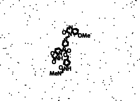 CNCC(=O)Nc1ccc(COC(=O)N(c2ccc3c(n2)NC(=O)CO3)C2CCN(CCn3c(=O)cnc4ccc(OC)cc43)CC2)cc1